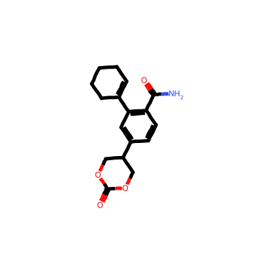 NC(=O)c1ccc(C2COC(=O)OC2)cc1C1=CCCCC1